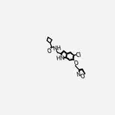 O=C(NCc1cc2cc(Cl)c(OCc3ccon3)cc2[nH]1)C1CCC1